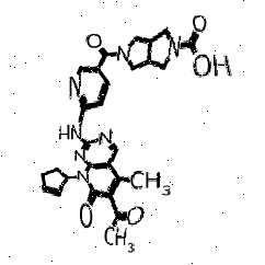 CC(=O)c1c(C)c2cnc(Nc3ccc(C(=O)N4CC5CN(C(=O)O)CC5C4)cn3)nc2n(C2CCCC2)c1=O